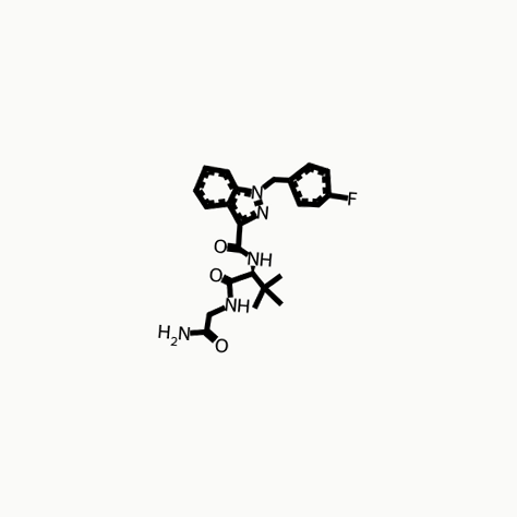 CC(C)(C)[C@H](NC(=O)c1nn(Cc2ccc(F)cc2)c2ccccc12)C(=O)NCC(N)=O